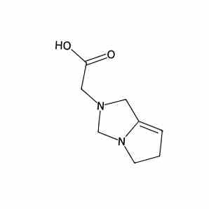 O=C(O)CN1CC2=CCCN2C1